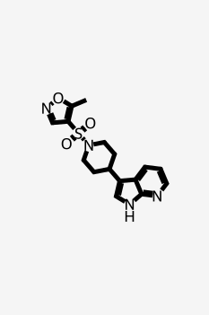 Cc1oncc1S(=O)(=O)N1CCC(c2c[nH]c3ncccc23)CC1